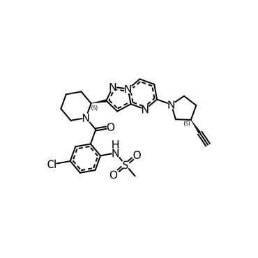 C#C[C@@H]1CCN(c2ccn3nc([C@@H]4CCCCN4C(=O)c4cc(Cl)ccc4NS(C)(=O)=O)cc3n2)C1